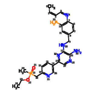 C/C=C\C=N/c1ccc(CNc2nc(-c3ccc(CP(C)(=O)OCC)nc3)cnc2N)cc1P